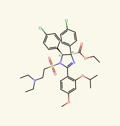 CCOC(=O)[C@]1(c2ccc(Cl)cc2)N=C(c2ccc(OC)cc2OC(C)C)N(S(=O)(=O)CCN(CC)CC)[C@H]1c1ccc(Cl)cc1